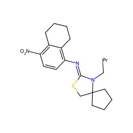 CC(C)CN1C(=Nc2ccc([N+](=O)[O-])c3c2CCCC3)SCC12CCCC2